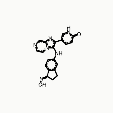 O=c1ccc(-c2nc3cnccn3c2Nc2ccc3c(c2)CC/C3=N\O)c[nH]1